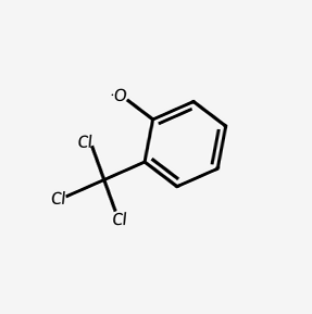 [O]c1ccccc1C(Cl)(Cl)Cl